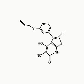 C=CCOc1cccc(-c2c(Cl)sc3[nH]c(=O)c(C#N)c(O)c23)c1